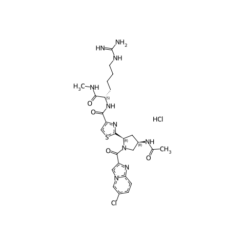 CNC(=O)[C@H](CCCCNC(=N)N)NC(=O)c1csc([C@H]2C[C@@H](NC(C)=O)CN2C(=O)c2cn3cc(Cl)ccc3n2)n1.Cl